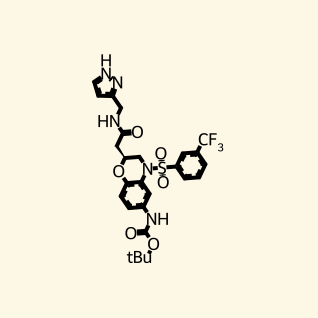 CC(C)(C)OC(=O)Nc1ccc2c(c1)N(S(=O)(=O)c1cccc(C(F)(F)F)c1)C[C@H](CC(=O)NCc1cc[nH]n1)O2